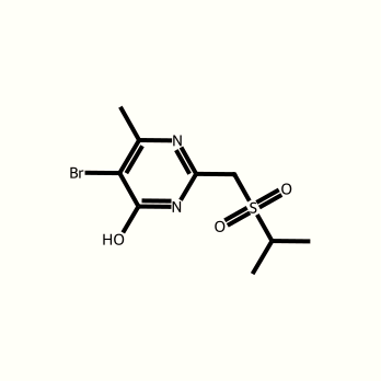 Cc1nc(CS(=O)(=O)C(C)C)nc(O)c1Br